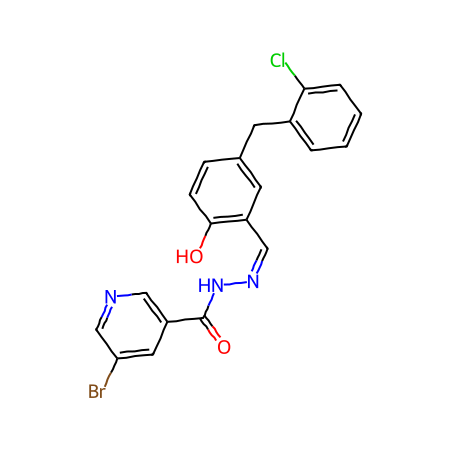 O=C(N/N=C\c1cc(Cc2ccccc2Cl)ccc1O)c1cncc(Br)c1